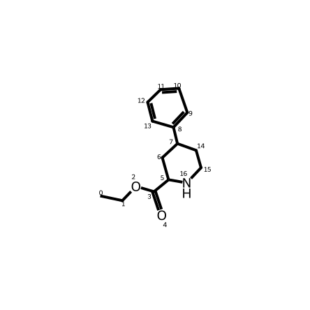 CCOC(=O)C1CC(c2ccccc2)CCN1